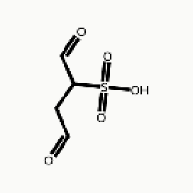 O=CCC(C=O)S(=O)(=O)O